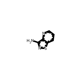 Nc1nsc2cccnc12